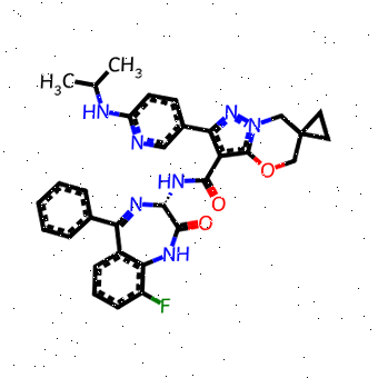 CC(C)Nc1ccc(-c2nn3c(c2C(=O)N[C@H]2N=C(c4ccccc4)c4cccc(F)c4NC2=O)OCC2(CC2)C3)cn1